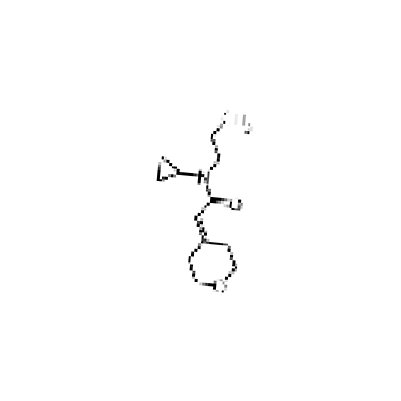 CCCN(C(=O)C=C1CCOCC1)C1CC1